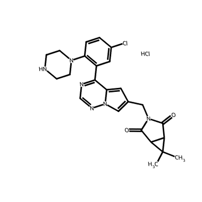 CC1(C)C2C(=O)N(Cc3cc4c(-c5cc(Cl)ccc5N5CCNCC5)ncnn4c3)C(=O)C21.Cl